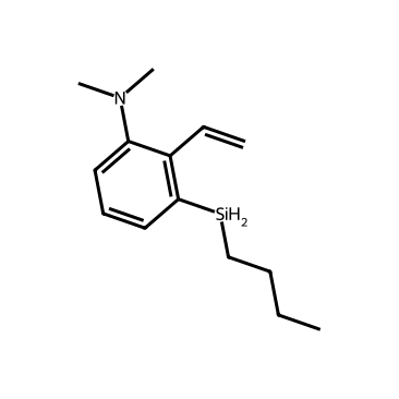 C=Cc1c([SiH2]CCCC)cccc1N(C)C